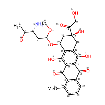 CCOC(C[C@@H](N)C(C)O)O[C@H]1C[C@](O)(C(=O)CO)Cc2c(O)c3c(c(O)c21)C(=O)c1c(OC)cccc1C3=O